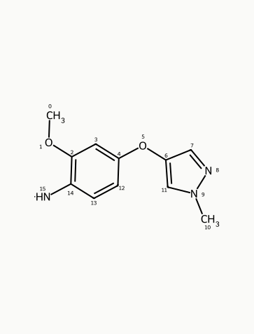 COc1cc(Oc2cnn(C)c2)ccc1[NH]